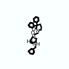 O=C(CN1CCCC(c2ccccc2)(c2ccccc2)C1=O)N1C[C@@H]2C[C@@H](C1)N(Cc1ccccc1)C2